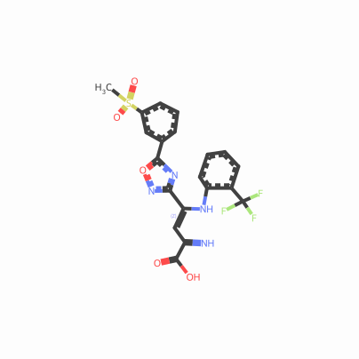 CS(=O)(=O)c1cccc(-c2nc(/C(=C/C(=N)C(=O)O)Nc3ccccc3C(F)(F)F)no2)c1